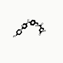 CC(C)C1CCN(c2ccc(Nc3ccc(CNC(=O)C4CNC(=O)C4)cc3)cn2)CC1